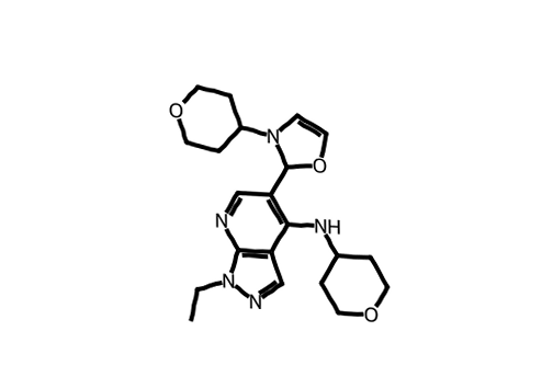 CCn1ncc2c(NC3CCOCC3)c(C3OC=CN3C3CCOCC3)cnc21